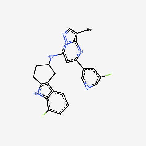 CC(C)c1cnn2c(NC3CCc4[nH]c5c(F)cccc5c4C3)cc(-c3cncc(F)c3)nc12